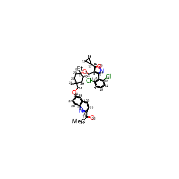 CCC1(OCc2c(-c3c(Cl)cccc3Cl)noc2C2CC2)CCC(C)(COc2ccc3nc(C(=O)OC)ccc3c2)CC1